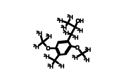 [2H]C([2H])([2H])Oc1cc(C([2H])([2H])C([2H])(O)C([2H])([2H])[2H])c(OC([2H])([2H])[2H])cc1C([2H])([2H])[2H]